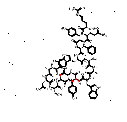 CC[C@H](C)[C@H](NC(=O)[C@H](Cc1c[nH]c2ccccc12)NC(=O)[C@H](Cc1ccccc1)NC(=O)[C@H](Cc1ccc(O)cc1)NC(=O)[C@H](CCC(N)=O)NC(=O)[C@H](CCCNC(=N)N)NC(C)=O)C(=O)N[C@@H](C)C(=O)N[C@@H](Cc1c[nH]c2ccccc12)C(=O)N[C@@H](Cc1ccc(O)cc1)C(=O)N[C@@H](CCCCN)C(=O)N[C@@H](CC(C)C)C(=O)N[C@@H](C)C(=O)N[C@@H](CC(N)=O)C(=O)N[C@@H](CO)C(=O)N[C@@H](C)C(N)=O